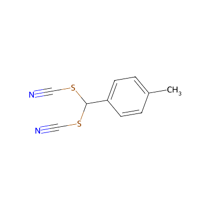 Cc1ccc(C(SC#N)SC#N)cc1